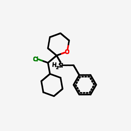 ClC(C1CCCCC1)C1([SiH2]Cc2ccccc2)CCCCO1